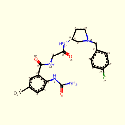 NC(=O)Nc1ccc([N+](=O)[O-])cc1C(=O)NCC(=O)N[C@@H]1CCN(Cc2ccc(Cl)cc2)C1